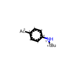 CC(=O)c1ccc(NC(C)(C)C)cc1